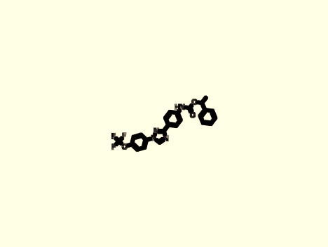 CC(OC(=O)Nc1ccc(-c2ncn(-c3ccc(OC(F)(F)F)cc3)n2)cc1)c1ccccc1